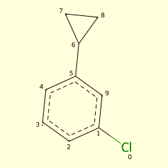 Clc1c[c]cc(C2CC2)c1